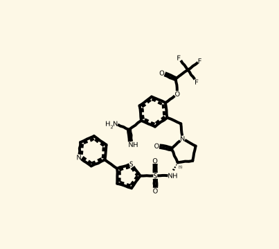 N=C(N)c1ccc(OC(=O)C(F)(F)F)c(CN2CC[C@H](NS(=O)(=O)c3ccc(-c4cccnc4)s3)C2=O)c1